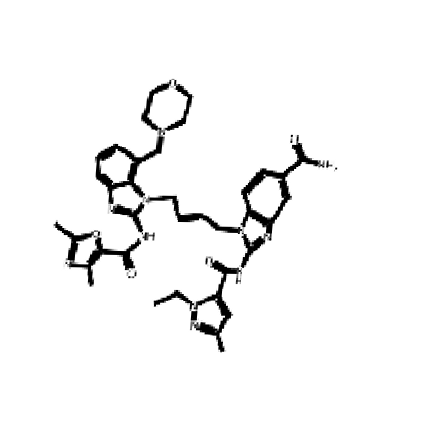 CCn1nc(C)cc1C(=O)Nc1nc2cc(C(N)=O)ccc2n1CC=CCn1c(NC(=O)c2oc(C)nc2C)nc2cccc(CN3CCOCC3)c21